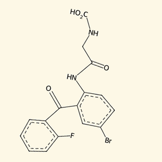 O=C(O)NCC(=O)Nc1ccc(Br)cc1C(=O)c1ccccc1F